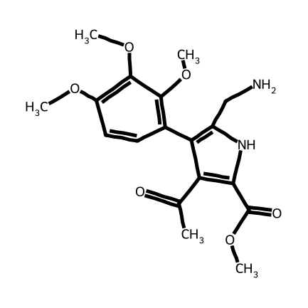 COC(=O)c1[nH]c(CN)c(-c2ccc(OC)c(OC)c2OC)c1C(C)=O